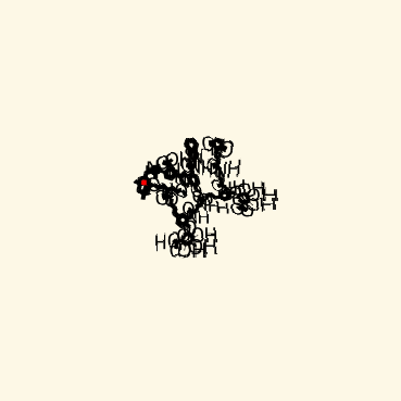 COCCN(CCOC12CC3(C)CC(C)(CC(Cn4ncc(-c5ccc(N6CCc7c(OC)ccc(C(=O)Nc8nc9ccccc9s8)c7C6)nc5C(=O)O)c4C)(C3)C1)C2)C(=O)OC/C=C/c1ccc(O[C@@H]2O[C@H](C(=O)O)[C@@H](O)[C@H](O)[C@H]2O)c(NC(=O)CCNC(=O)OC/C=C/c2ccc(O[C@@H]3O[C@H](C(=O)O)[C@@H](O)[C@H](O)[C@H]3O)c(NC(=O)CCNC(=O)CCN3C(=O)C=CC3=O)c2)c1